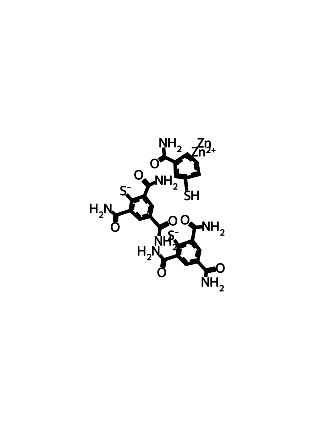 NC(=O)c1cc(C(N)=O)c([S-])c(C(N)=O)c1.NC(=O)c1cc(C(N)=O)c([S-])c(C(N)=O)c1.NC(=O)c1cccc(S)c1.[Zn+2].[Zn]